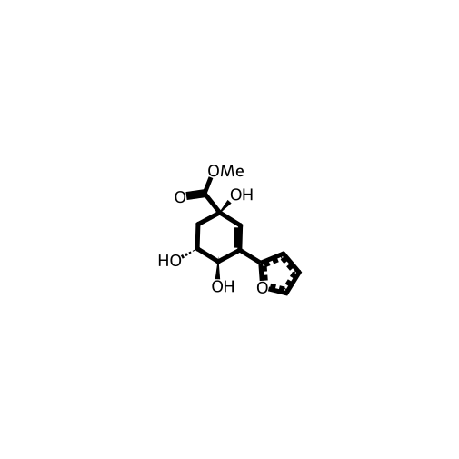 COC(=O)[C@]1(O)C=C(c2ccco2)[C@@H](O)[C@H](O)C1